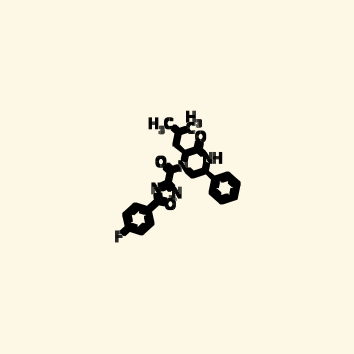 CC(C)C[C@H]1C(=O)N[C@@H](c2ccccc2)CN1C(=O)c1noc(-c2ccc(F)cc2)n1